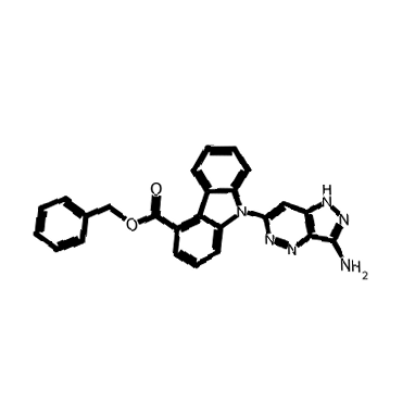 Nc1n[nH]c2cc(-n3c4ccccc4c4c(C(=O)OCc5ccccc5)cccc43)nnc12